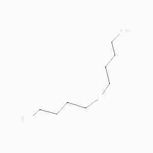 CCCC[CH2][Fe][CH2]CCCC